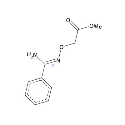 COC(=O)CO/N=C(\N)c1ccccc1